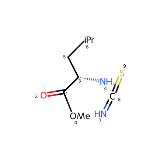 COC(=O)[C@@H](N)CC(C)C.N=C=S